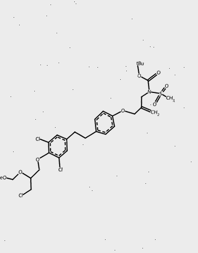 C=C(COc1ccc(CCc2cc(Cl)c(OCC(CCl)OCOC)c(Cl)c2)cc1)CN(C(=O)OC(C)(C)C)S(C)(=O)=O